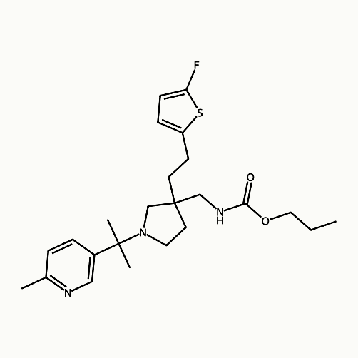 CCCOC(=O)NCC1(CCc2ccc(F)s2)CCN(C(C)(C)c2ccc(C)nc2)C1